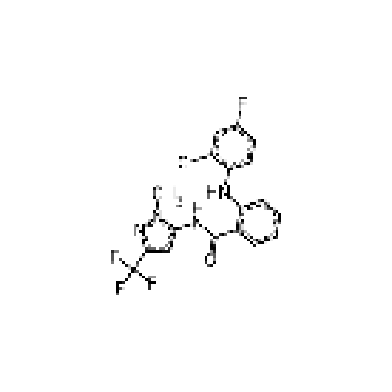 Cn1nc(C(F)(F)F)cc1NC(=O)c1ccccc1Nc1ccc(F)cc1Cl